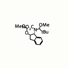 COCO[C@@H]1Cc2ccccc2[C@H]1N(C(=O)O)C(OC)C(C)(C)C